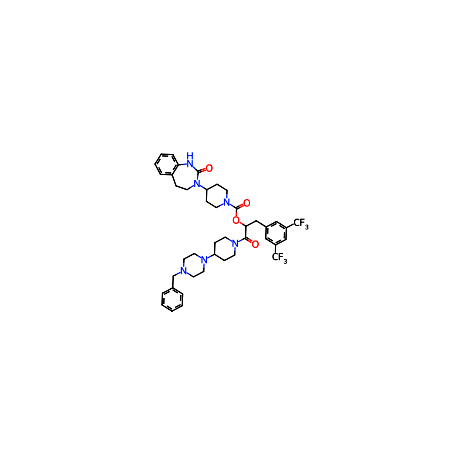 O=C(OC(Cc1cc(C(F)(F)F)cc(C(F)(F)F)c1)C(=O)N1CCC(N2CCN(Cc3ccccc3)CC2)CC1)N1CCC(N2CCc3ccccc3NC2=O)CC1